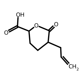 C=CCC1CCC(C(=O)O)OC1=O